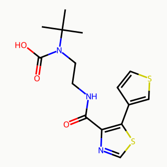 CC(C)(C)N(CCNC(=O)c1ncsc1-c1ccsc1)C(=O)O